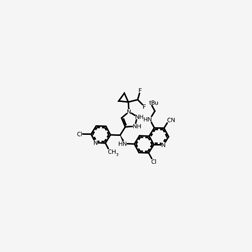 Cc1nc(Cl)ccc1[C@H](Nc1cc(Cl)c2ncc(C#N)c(NCC(C)(C)C)c2c1)C1=CN(C2(C(F)F)CC2)NN1